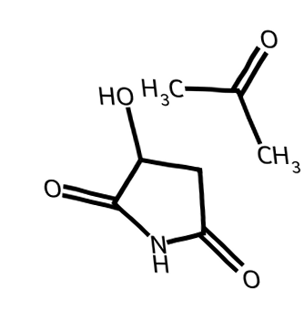 CC(C)=O.O=C1CC(O)C(=O)N1